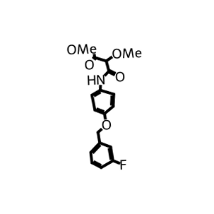 COC(=O)C(OC)C(=O)Nc1ccc(OCc2cccc(F)c2)cc1